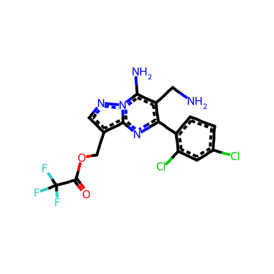 NCc1c(-c2ccc(Cl)cc2Cl)nc2c(COC(=O)C(F)(F)F)cnn2c1N